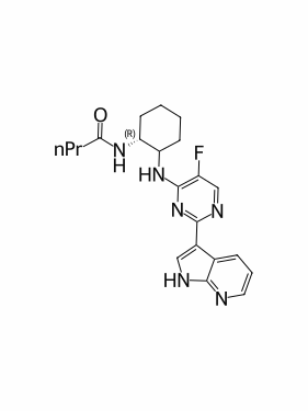 CCCC(=O)N[C@@H]1CCCCC1Nc1nc(-c2c[nH]c3ncccc23)ncc1F